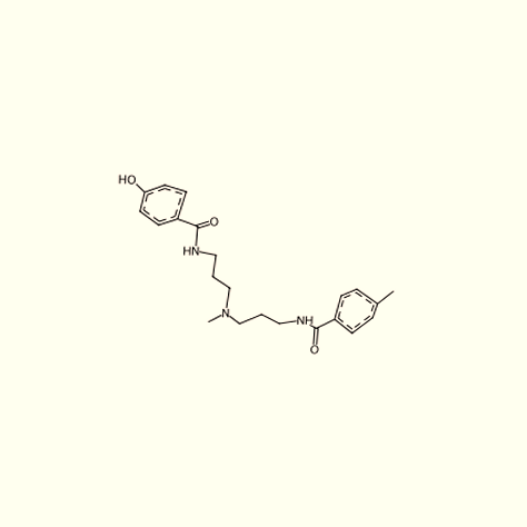 Cc1ccc(C(=O)NCCCN(C)CCCNC(=O)c2ccc(O)cc2)cc1